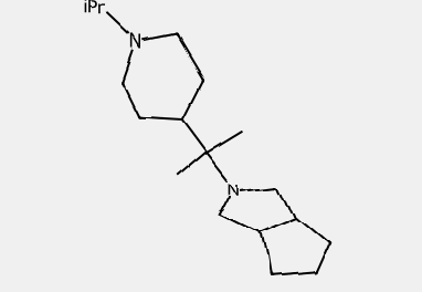 CC(C)N1CCC(C(C)(C)N2CC3CCCC3C2)CC1